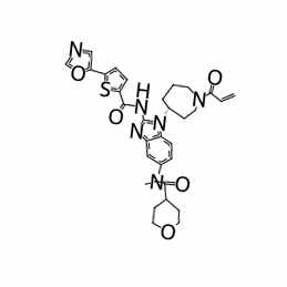 C=CC(=O)N1CCC[C@@H](n2c(NC(=O)c3ccc(-c4cnco4)s3)nc3cc(N(C)C(=O)C4CCOCC4)ccc32)CC1